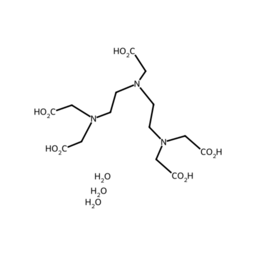 O.O.O.O=C(O)CN(CCN(CC(=O)O)CC(=O)O)CCN(CC(=O)O)CC(=O)O